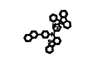 CC12C=CC=CC1c1ccccc1C2(c1ccccc1)C1C=CC(N(c2ccc(-c3ccc4ccccc4c3)cc2)c2cccc3c2sc2ccccc23)=CC1